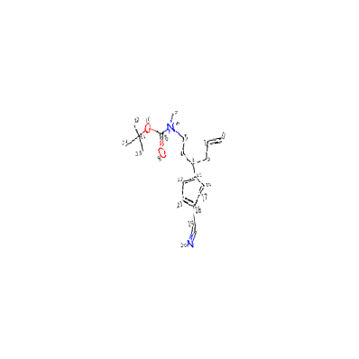 C=CCC(CCN(C)C(=O)OC(C)(C)C)c1ccc(C#N)cc1